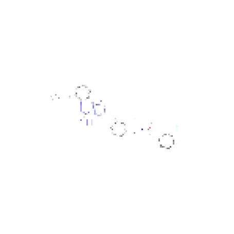 COc1cccc2c1nc(N)n1cc(Cc3cccc4c3CCN(C(=O)Cc3ccc(F)c(F)c3)C4)nc21